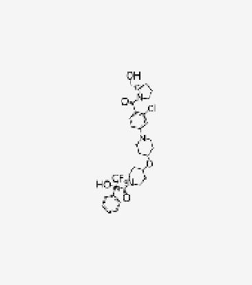 O=C(c1ccc(N2CCC(OC3CCN(C(=O)[C@](O)(c4ccccc4)C(F)(F)F)CC3)CC2)cc1Cl)N1CCC[C@H]1CO